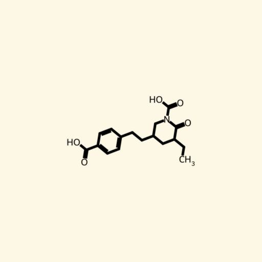 CCC1CC(CCc2ccc(C(=O)O)cc2)CN(C(=O)O)C1=O